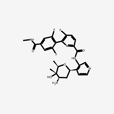 CNC(=O)c1cc(F)c(-c2nc(C(=O)Nc3cnccc3[C@H]3C[C@@H](N)[C@](C)(O)[C@@H](C)O3)ccc2F)c(F)c1